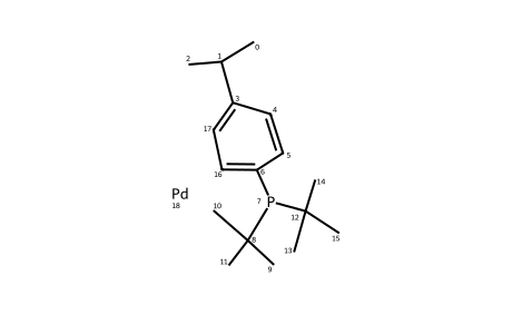 CC(C)c1ccc(P(C(C)(C)C)C(C)(C)C)cc1.[Pd]